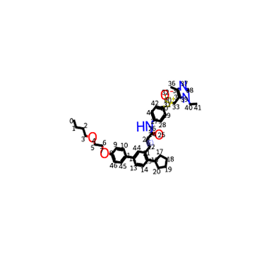 CCCCOCCOc1ccc(-c2ccc(C3CCCC3)c(/C=C/C(=O)Nc3ccc([S@@+]([O-])Cc4c(C)ncn4CC)cc3)c2)cc1